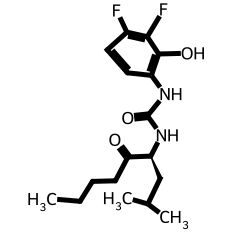 CCCCC(=O)[C@H](CC(C)C)NC(=O)Nc1ccc(F)c(F)c1O